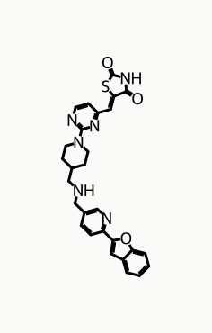 O=C1NC(=O)/C(=C/c2ccnc(N3CCC(CNCc4ccc(-c5cc6ccccc6o5)nc4)CC3)n2)S1